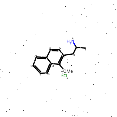 COc1c(CC(C)N)ccc2ccccc12.Cl